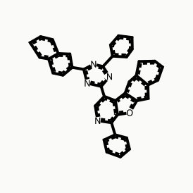 c1ccc(-c2nc(-c3ccc4ccccc4c3)nc(-c3cnc(-c4ccccc4)c4oc5cc6ccccc6cc5c34)n2)cc1